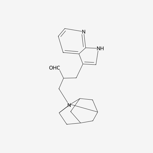 O=CC(Cc1c[nH]c2ncccc12)CN1C2CC3CC(C2)CC1C3